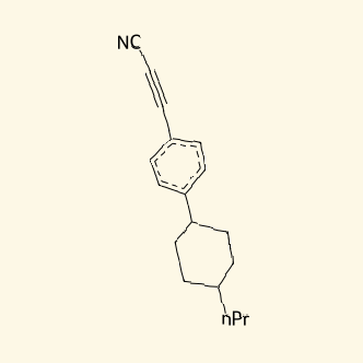 CCCC1CCC(c2ccc(C#CC#N)cc2)CC1